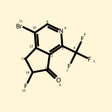 O=C1c2c(C(F)(F)F)ncc(Br)c2CC1F